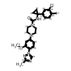 COc1cc(N2CCN(C(=O)NC3(c4ccc(I)c(Cl)c4)CC3)CC2)ccc1-n1cnc(C)n1